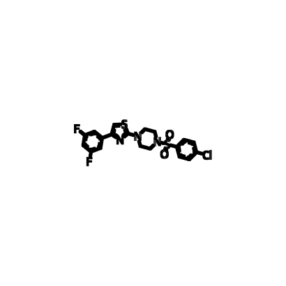 O=S(=O)(c1ccc(Cl)cc1)N1CCN(c2nc(-c3cc(F)cc(F)c3)cs2)CC1